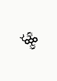 CCC(C)Cc1ccc2c(=C3SC=CS3)c3ccccc3c(=C3SC=CS3)c2c1